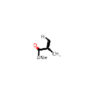 [CH2]CC=C(C)C(=O)OC